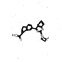 C[C@H]1CCN1c1nc2c(c(-c3ccc4c(c3)C3C(C4)C3C(=O)O)n1)CCC2